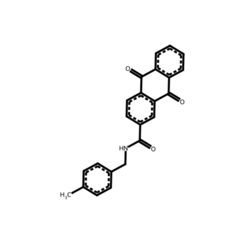 Cc1ccc(CNC(=O)c2ccc3c(c2)C(=O)c2ccccc2C3=O)cc1